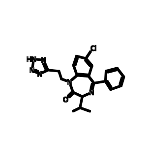 CC(C)C1N=C(c2ccccc2)c2cc(Cl)ccc2N(CCc2nn[nH]n2)C1=O